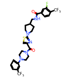 O=C(NCC1CCN(c2nc(C(=O)N3CCN(c4cccc(C(F)(F)F)c4)CC3)cs2)CC1)c1ccc(C(F)(F)F)c(F)c1